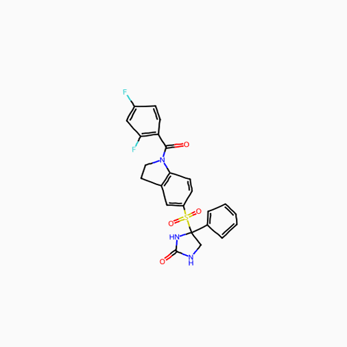 O=C1NCC(c2ccccc2)(S(=O)(=O)c2ccc3c(c2)CCN3C(=O)c2ccc(F)cc2F)N1